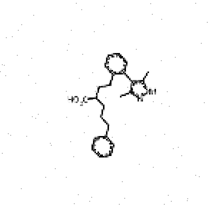 Cc1n[nH]c(C)c1-c1ccccc1CCC(CCCc1ccccc1)C(=O)O